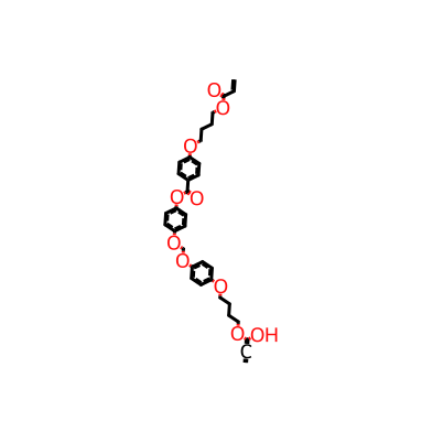 C=C=C(O)OCCCCOc1ccc(OCOc2ccc(OC(=O)c3ccc(OCCCCOC(=O)C=C)cc3)cc2)cc1